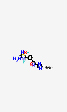 CN=[S@]1(=O)C[C@@](CF)(c2cc(-c3cc(-c4cnc(OC)cn4)no3)ccc2F)N=C(N)C1(C)C